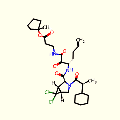 C=CCC[C@H](NC(=O)[C@@H]1[C@@H]2[C@H](CN1C(=O)[C@@H](C)C1CCCCC1)C2(Cl)Cl)C(=O)C(=O)NCCC(=O)OC1(C)CCCC1